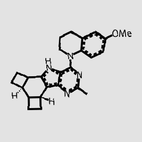 COc1ccc2c(c1)CCCN2c1nc(C)nc2c3c([nH]c12)C1CC[C@@H]1C1CC[C@@H]31